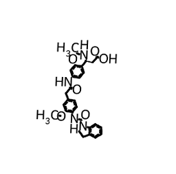 COc1cc(CC(=O)Nc2ccc([C@H](CC(=O)O)NC(C)=O)cc2)ccc1NC(=O)N1CCc2ccccc21